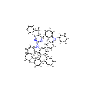 CC1(C)c2ccccc2-c2nc(-n3c4ccc5ccccc5c4c4c5c6ccccc6c6ccccc6c5ccc43)nc(-c3cccc4c3c3ccccc3n4-c3ccccc3)c21